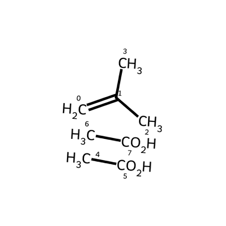 C=C(C)C.CC(=O)O.CC(=O)O